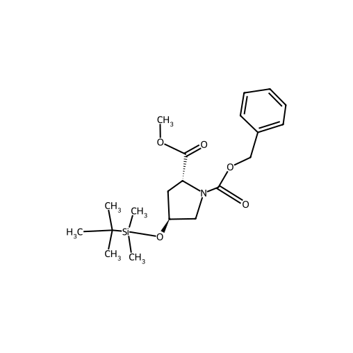 COC(=O)[C@H]1C[C@H](O[Si](C)(C)C(C)(C)C)CN1C(=O)OCc1ccccc1